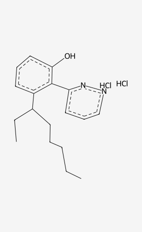 CCCCCC(CC)c1cccc(O)c1-c1cccnn1.Cl.Cl